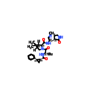 C/N=C/[C@H](C[C@@H]1CCNC1=O)NC(=O)[C@@H]1[C@@H]2[C@H](CN1C(=O)[C@@H](NC(=O)[C@@H]1C[C@@H]1c1ccccc1)C(C)(C)C)C2(C)C